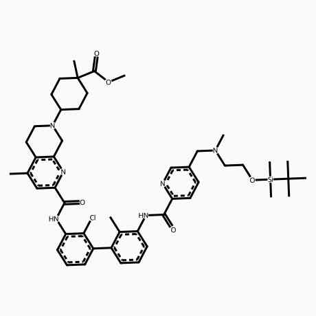 COC(=O)C1(C)CCC(N2CCc3c(C)cc(C(=O)Nc4cccc(-c5cccc(NC(=O)c6ccc(CN(C)CCO[Si](C)(C)C(C)(C)C)cn6)c5C)c4Cl)nc3C2)CC1